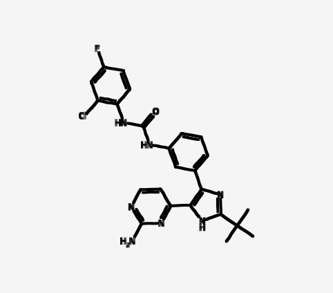 CC(C)(C)c1nc(-c2cccc(NC(=O)Nc3ccc(F)cc3Cl)c2)c(-c2ccnc(N)n2)[nH]1